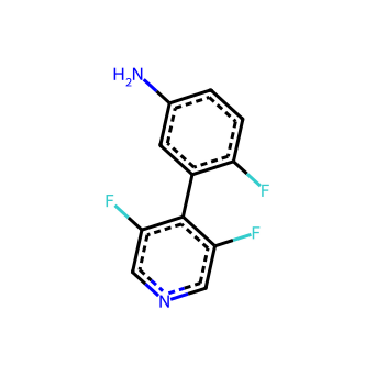 Nc1ccc(F)c(-c2c(F)cncc2F)c1